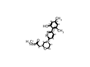 CNC(=O)C[C@H]1CN(c2ccc(-c3c(C)cc(C)cc3O)nn2)CCO1